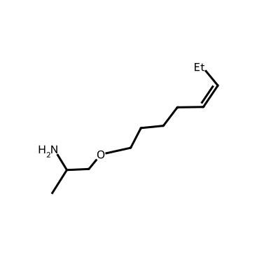 CC/C=C\CCCCOCC(C)N